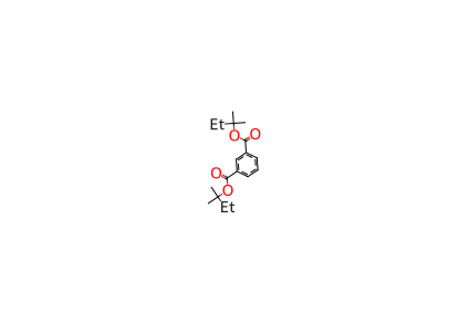 CCC(C)(C)OC(=O)c1cccc(C(=O)OC(C)(C)CC)c1